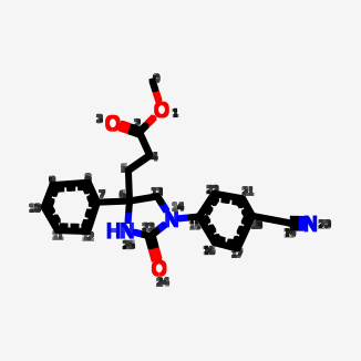 COC(=O)CCC1(c2ccccc2)CN(c2ccc(C#N)cc2)C(=O)N1